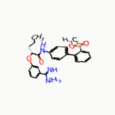 CCC[C@@H](Oc1cccc(C(=N)N)c1)C(=O)Nc1ccc(-c2ccccc2S(C)(=O)=O)cc1